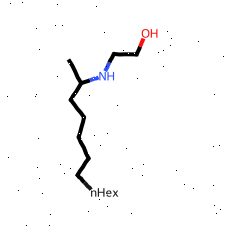 CCCCCCCCCCCC(C)NCCO